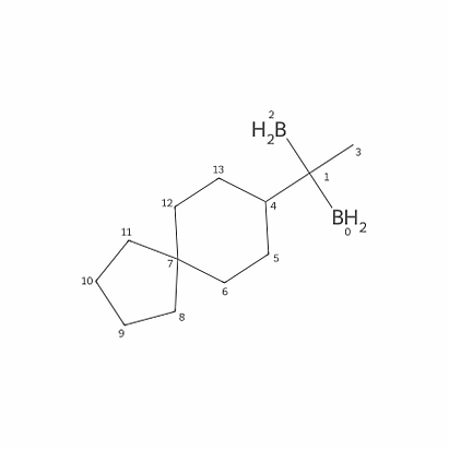 BC(B)(C)C1CCC2(CCCC2)CC1